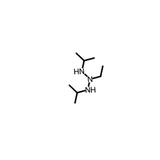 CCN(NC(C)C)NC(C)C